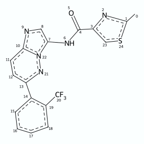 Cc1nc(C(=O)Nc2cnc3ccc(-c4ccccc4C(F)(F)F)nn23)cs1